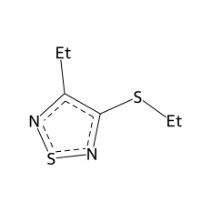 [CH2]Cc1nsnc1SCC